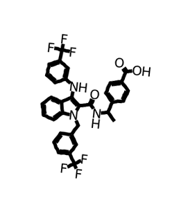 CC(NC(=O)c1c(Nc2cccc(C(F)(F)F)c2)c2ccccc2n1Cc1cccc(C(F)(F)F)c1)c1ccc(C(=O)O)cc1